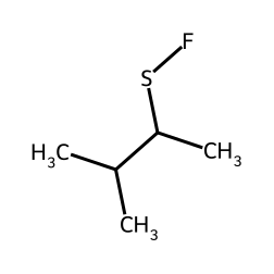 CC(C)C(C)SF